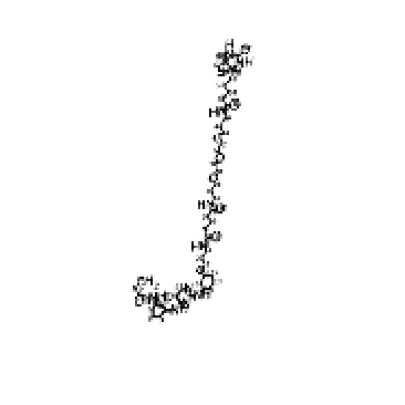 C=CC1OC1Nc1cccc(Nc2nc(Nc3cccc(OCCCNC(=O)CCCC(=O)NCCCOCCOCCOCCCNC(=O)CCCC[C@@H]4SC[C@@H]5NC(=O)N[C@@H]54)c3)ncc2C)c1